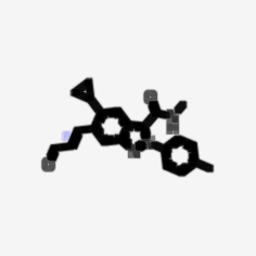 CNC(=O)c1c2cc(C3CC3)c(/C=C/C=O)cc2nn1-c1ccc(C)cc1